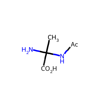 CC(=O)NC(C)(N)C(=O)O